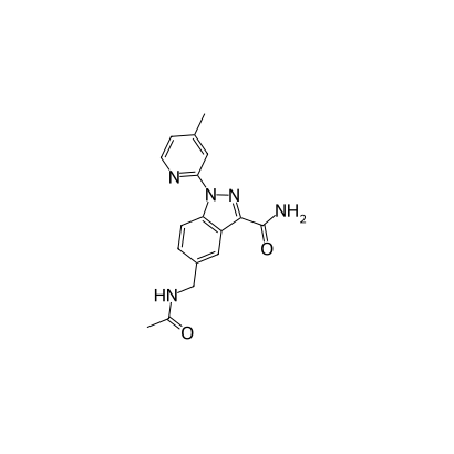 CC(=O)NCc1ccc2c(c1)c(C(N)=O)nn2-c1cc(C)ccn1